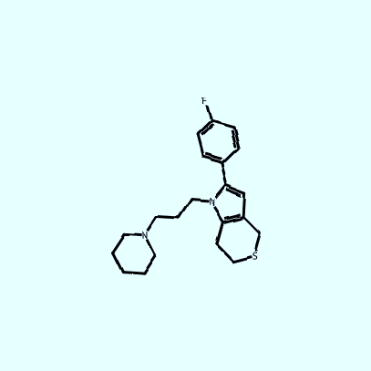 Fc1ccc(-c2cc3c(n2CCCN2CCCCC2)CCSC3)cc1